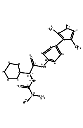 Cc1n[nH]c(C)c1-c1ccc(NC(=O)[C@@H](NC(=O)N(C)C(C)C)C2CCCCC2)cc1